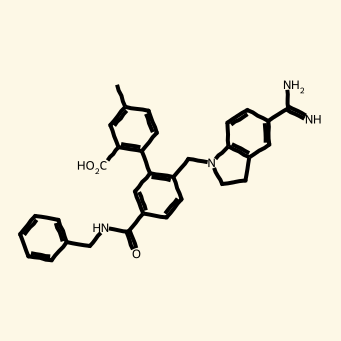 Cc1ccc(-c2cc(C(=O)NCc3ccccc3)ccc2CN2CCc3cc(C(=N)N)ccc32)c(C(=O)O)c1